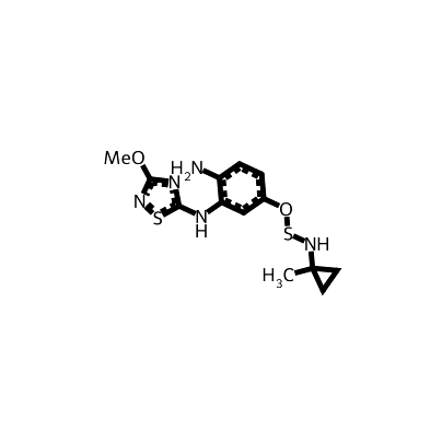 COc1nsc(Nc2cc(OSNC3(C)CC3)ccc2N)n1